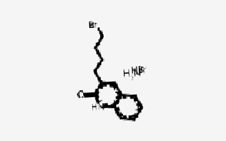 Br.N.O=c1[nH]c2ccccc2cc1CCCCBr